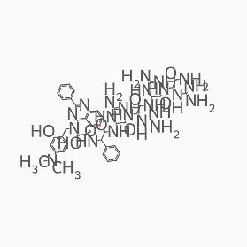 CN(C)c1ccc(CN(c2nc(-c3ccccc3)nc3ccccc23)C(O)C(=O)NC(C(=O)NC(NC(=N)N)C(=O)NC(NC(=N)N)C(=O)NC(NC(=N)N)C(=O)NC(NC(=N)N)C(N)=O)c2ccccc2)c(O)c1